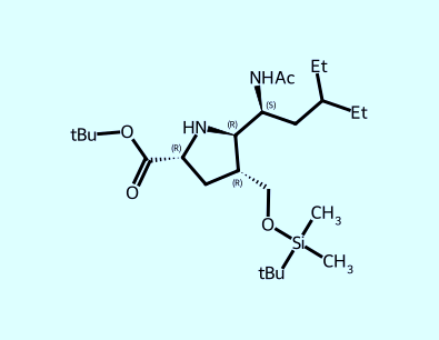 CCC(CC)C[C@H](NC(C)=O)[C@@H]1N[C@@H](C(=O)OC(C)(C)C)C[C@H]1CO[Si](C)(C)C(C)(C)C